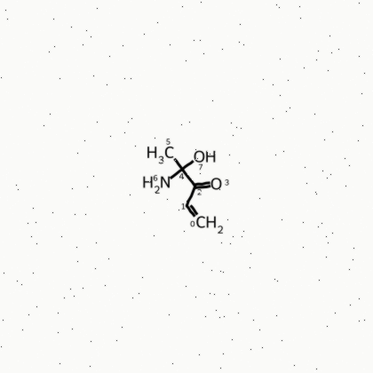 C=CC(=O)C(C)(N)O